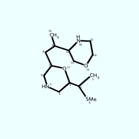 CSC(C)C1CNCC(CC(C)C2COCCN2)O1